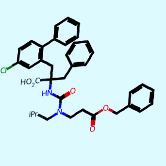 CC(C)CN(CCC(=O)OCc1ccccc1)C(=O)NC(Cc1ccccc1)(Cc1cc(Cl)ccc1-c1ccccc1)C(=O)O